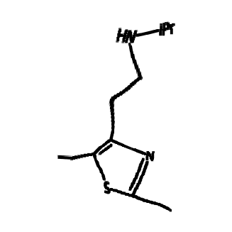 Cc1nc(CCNC(C)C)c(C)s1